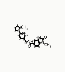 C[C@@H]1CCCN1c1ccc(CNC(=O)c2ccc3c(c2)[nH]c(=O)n3C)cn1